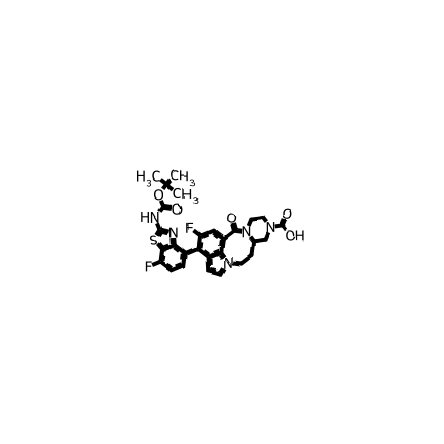 CC(C)(C)OC(=O)Nc1nc2c(-c3c(F)cc4c5c3ccn5CCC3CN(C(=O)O)CCN3C4=O)ccc(F)c2s1